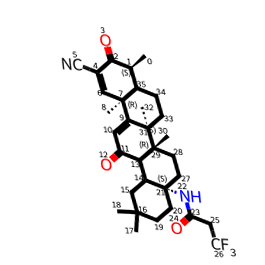 C[C@@H]1C(=O)C(C#N)=C[C@]2(C)C3=CC(=O)C4C5CC(C)(C)CC[C@]5(NC(=O)CC(F)(F)F)CC[C@@]4(C)[C@]3(C)CCC12